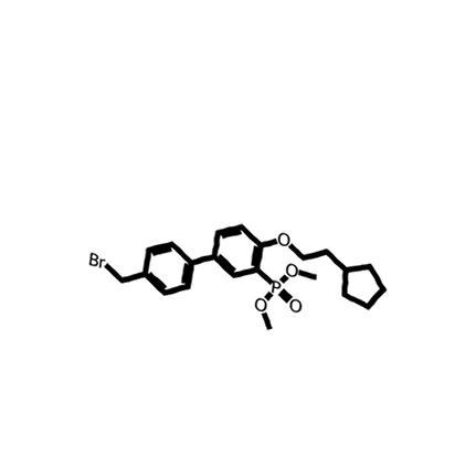 COP(=O)(OC)c1cc(-c2ccc(CBr)cc2)ccc1OCCC1CCCC1